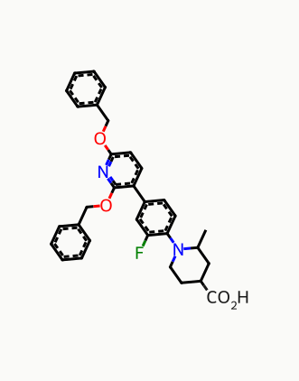 CC1CC(C(=O)O)CCN1c1ccc(-c2ccc(OCc3ccccc3)nc2OCc2ccccc2)cc1F